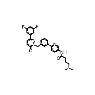 CN(C)CCCC(=O)Nc1ccc(-c2cccc(Cn3nc(-c4cc(F)cc(F)c4)ccc3=O)c2)nc1